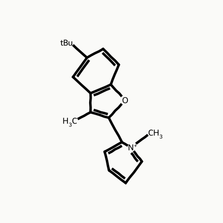 Cc1c(-c2cccc[n+]2C)oc2ccc(C(C)(C)C)cc12